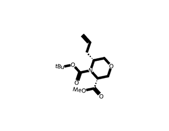 C=CC[C@@H]1COC[C@H](C(=O)OC)N1C(=O)OC(C)(C)C